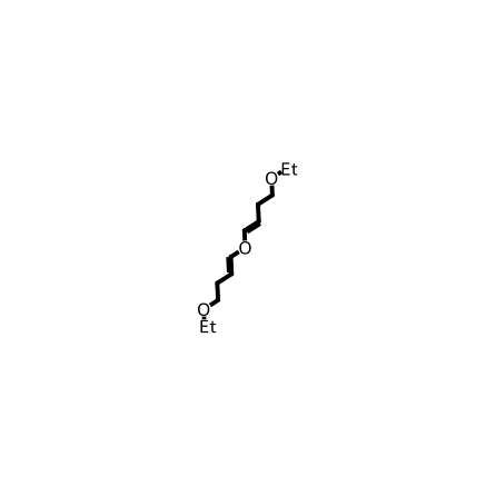 CCOCCC=COC=CCCOCC